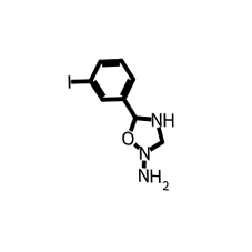 NN1CNC(c2cccc(I)c2)O1